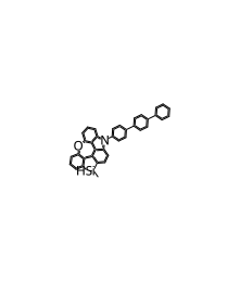 Cc1cccc2oc3cccc4c3c3c(c([SiH](C)C)ccc3n4-c3ccc(-c4ccc(-c5ccccc5)cc4)cc3)c12